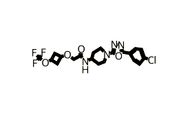 O=C(COC1CC(OC(F)(F)F)C1)NC1CCN(c2nnc(-c3ccc(Cl)cc3)o2)CC1